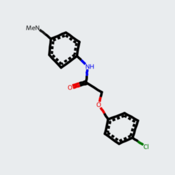 CNc1ccc(NC(=O)COc2ccc(Cl)cc2)cc1